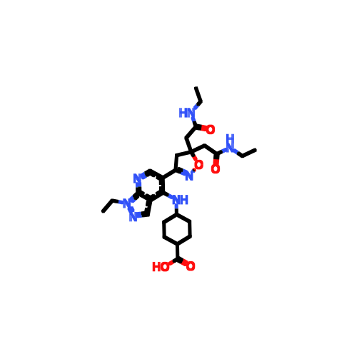 CCNC(=O)CC1(CC(=O)NCC)CC(c2cnc3c(cnn3CC)c2NC2CCC(C(=O)O)CC2)=NO1